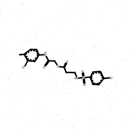 Cc1ccc(NC(=O)COC(=O)CCNS(=O)(=O)c2ccc(Cl)cc2)cc1Cl